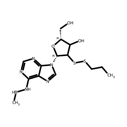 CBNc1ncnc2c1ncn2[C@@H]1O[C@H](CO)C(O)C1SSCCC